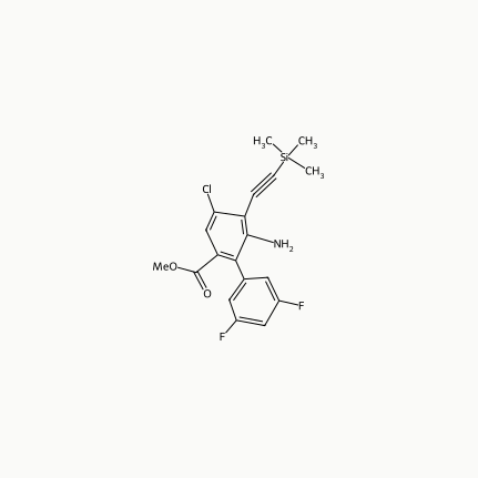 COC(=O)c1cc(Cl)c(C#C[Si](C)(C)C)c(N)c1-c1cc(F)cc(F)c1